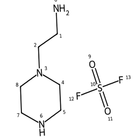 NCCN1CCNCC1.O=S(=O)(F)F